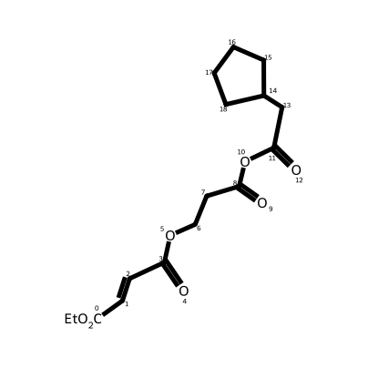 CCOC(=O)C=CC(=O)OCCC(=O)OC(=O)CC1CCCC1